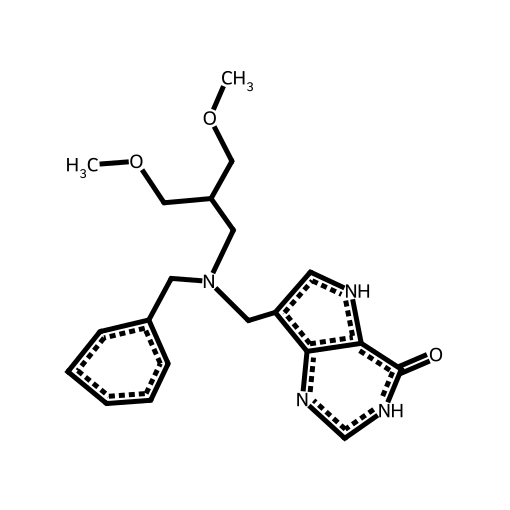 COCC(COC)CN(Cc1ccccc1)Cc1c[nH]c2c(=O)[nH]cnc12